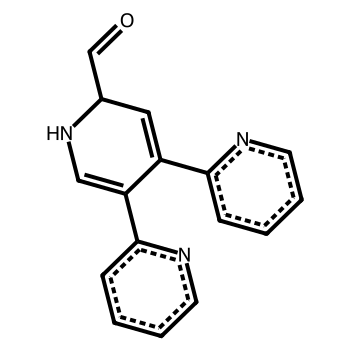 O=CC1C=C(c2ccccn2)C(c2ccccn2)=CN1